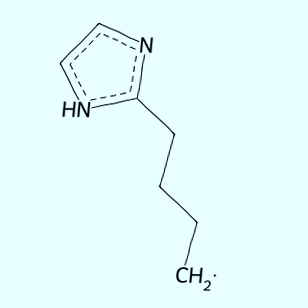 [CH2]CCCc1ncc[nH]1